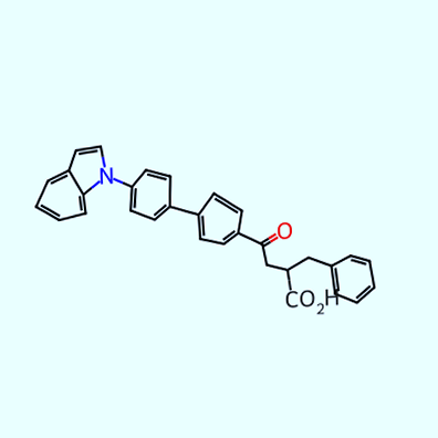 O=C(CC(Cc1ccccc1)C(=O)O)c1ccc(-c2ccc(-n3ccc4ccccc43)cc2)cc1